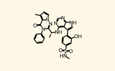 CNS(=O)(=O)c1ccc(-c2c[nH]c3ncnc(N[C@@H](C)c4nn5ccc(C)c5c(=O)n4-c4ccccc4)c23)c(O)c1